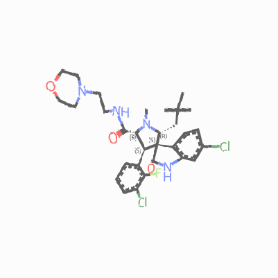 CN1[C@@H](C(=O)NCCN2CCOCC2)[C@H](c2cccc(Cl)c2F)[C@@]2(C(=O)Nc3cc(Cl)ccc32)[C@H]1CC(C)(C)C